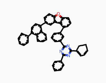 C1=CCCC(c2nc(-c3ccccc3)nc(-c3cccc(-c4cccc5oc6ccc(-c7ccc(-c8ccccc8)c8ccccc78)cc6c45)c3)n2)=C1